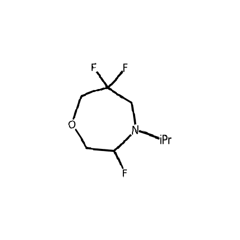 CC(C)N1CC(F)(F)COCC1F